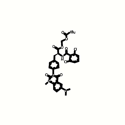 CN(C)c1ccc2c(c1)c(=O)n(-c1ccc(C[C@H](NC(=O)c3c(Cl)cccc3Cl)C(=O)OCOC(=O)C(C)(C)C)cc1)c(=O)n2C